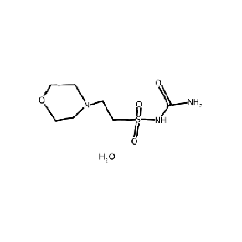 NC(=O)NS(=O)(=O)CCN1CCOCC1.O